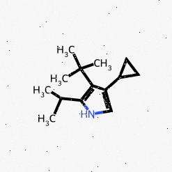 CC(C)c1[nH]cc(C2CC2)c1C(C)(C)C